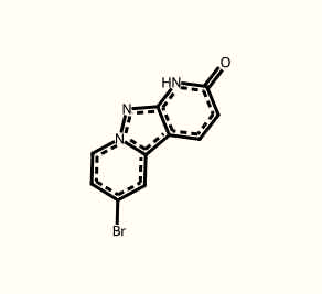 O=c1ccc2c(nn3ccc(Br)cc23)[nH]1